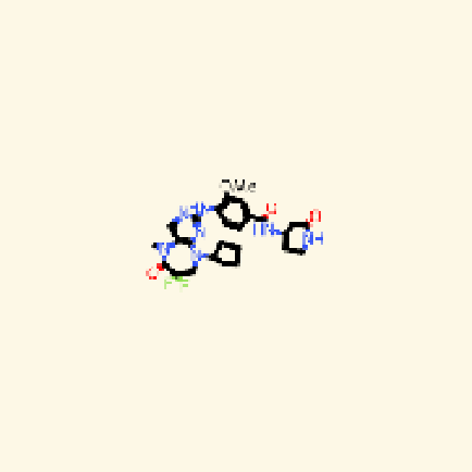 COc1cc(C(=O)N[C@@H]2CCNC(=O)C2)ccc1Nc1ncc2c(n1)N(C1CCCC1)CC(F)(F)C(=O)N2C